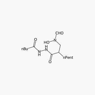 CCCCCC(CN(O)C=O)C(=O)NNC(=O)CCCC